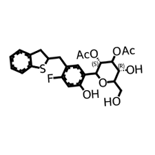 CC(=O)OC1[C@H](O)C(CO)OC(c2cc(CC3Cc4ccccc4S3)c(F)cc2O)[C@@H]1OC(C)=O